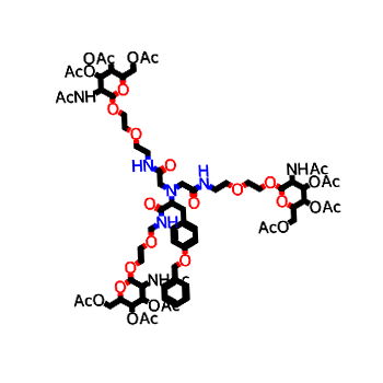 CC(=O)NC1C(OCCOCCNC(=O)CN(CC(=O)NCCOCCOC2OC(COC(C)=O)C(OC(C)=O)C(OC(C)=O)C2NC(C)=O)C(Cc2ccc(OCc3ccccc3)cc2)C(=O)NCOCCOC2OC(COC(C)=O)C(OC(C)=O)C(OC(C)=O)C2NC(C)=O)OC(COC(C)=O)C(OC(C)=O)C1OC(C)=O